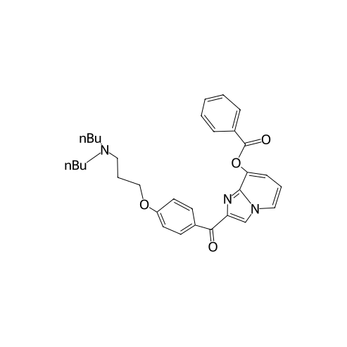 CCCCN(CCCC)CCCOc1ccc(C(=O)c2cn3cccc(OC(=O)c4ccccc4)c3n2)cc1